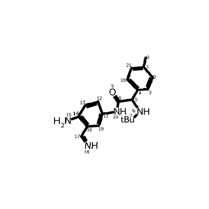 Cc1ccc(C(NC(C)(C)C)C(=O)Nc2ccc(N)c(C=N)c2)cc1